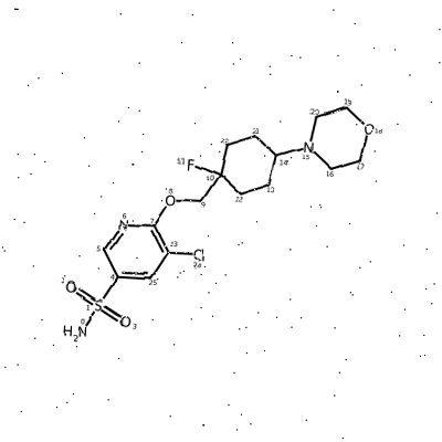 NS(=O)(=O)c1cnc(OCC2(F)CCC(N3CCOCC3)CC2)c(Cl)c1